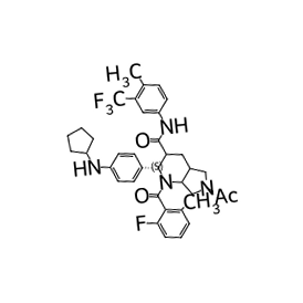 CC(=O)N1CC2CC(C(=O)Nc3ccc(C)c(C(F)(F)F)c3)[C@@H](c3ccc(NC4CCCC4)cc3)N(C(=O)c3c(C)cccc3F)C2C1